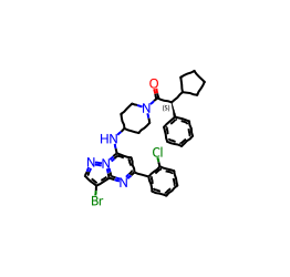 O=C([C@H](c1ccccc1)C1CCCC1)N1CCC(Nc2cc(-c3ccccc3Cl)nc3c(Br)cnn23)CC1